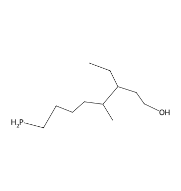 CCC(CCO)C(C)CCCCP